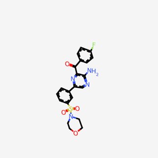 Nc1ncc(-c2cccc(S(=O)(=O)N3CCOCC3)c2)nc1C(=O)c1ccc(F)cc1